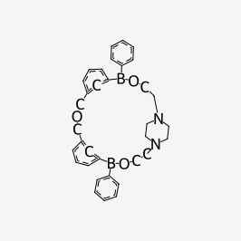 c1ccc(B2OCCN3CCN(CCOB(c4ccccc4)c4cccc(c4)COCc4cccc2c4)CC3)cc1